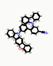 N#CC1C=CC(c2cccc(-n3c4c(c5cc6oc7ccccc7c6cc53)C=CCC4)c2)=C(n2c3ccccc3c3ccccc32)C1